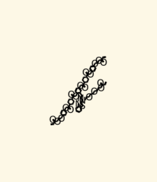 C=CC(=O)OCCOCCOCCN(/N=C/c1cc(OC(=O)C2CCC(C(=O)Oc3ccc(OCOC(=O)C=C)cc3)CC2)ccc1OC(=O)C1CCC(C(=O)Oc2ccc(OCOC(=O)C=C)cc2)CC1)c1nc2ccccc2s1